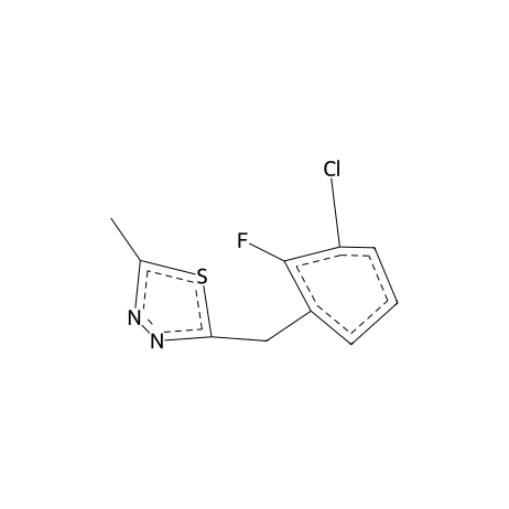 Cc1nnc(Cc2cccc(Cl)c2F)s1